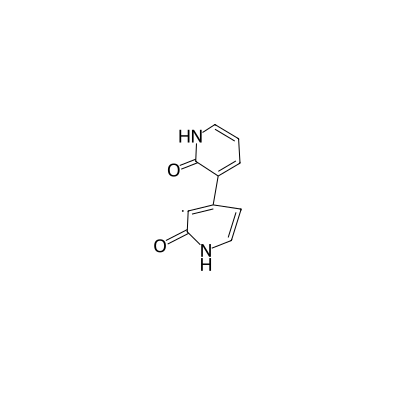 O=c1[c]c(-c2ccc[nH]c2=O)cc[nH]1